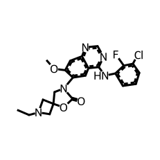 CCN1CC2(C1)CN(c1cc3c(Nc4cccc(Cl)c4F)ncnc3cc1OC)C(=O)O2